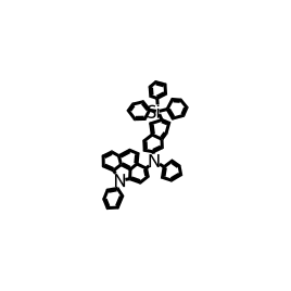 c1ccc(N(c2ccc3cc([Si](c4ccccc4)(c4ccccc4)c4ccccc4)ccc3c2)c2ccc3c4c2ccc2cccc(c24)n3-c2ccccc2)cc1